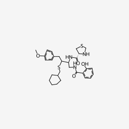 COc1ccc(CC(SCC2CCCCC2)C(CNC(=O)c2ccccc2O)NC(=O)[C@@H]2CSCN2)cc1